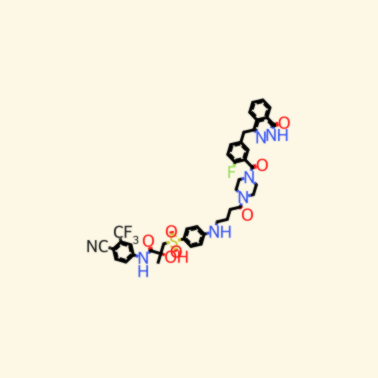 CC(O)(CS(=O)(=O)c1ccc(NCCCC(=O)N2CCN(C(=O)c3cc(Cc4n[nH]c(=O)c5ccccc45)ccc3F)CC2)cc1)C(=O)Nc1ccc(C#N)c(C(F)(F)F)c1